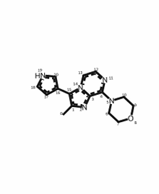 Cc1nc2c(N3CCOCC3)nccn2c1-c1cc[nH]c1